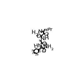 CCCC(N)C(=O)C(=O)NCC(=O)NC(C(N)=O)C1=CC=CCC1